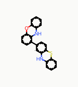 [c]1c(-c2cccc3c2Nc2ccccc2O3)ccc2c1Nc1ccccc1S2